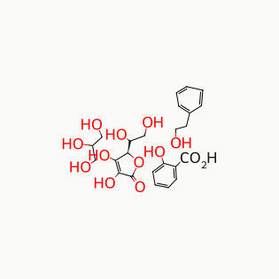 O=C(O)c1ccccc1O.O=C1O[C@H](C(O)CO)C(O)=C1O.OCC(O)CO.OCCc1ccccc1